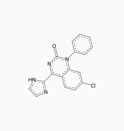 O=c1nc(-c2ncc[nH]2)c2ccc(Cl)cc2n1-c1ccccc1